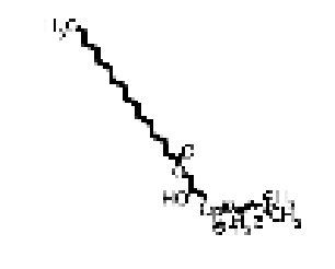 CCCCCCCCCCCCCCCC(=O)OCC(O)COP(O)OCC[N+](C)(C)C